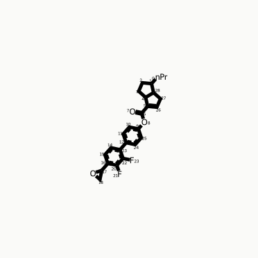 CCCC1CCC2C(C(=O)Oc3ccc(-c4ccc(C5CO5)c(F)c4F)cc3)=CCC12